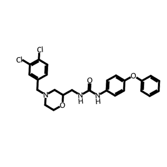 O=C(NCC1CN(Cc2ccc(Cl)c(Cl)c2)CCO1)Nc1ccc(Oc2ccccc2)cc1